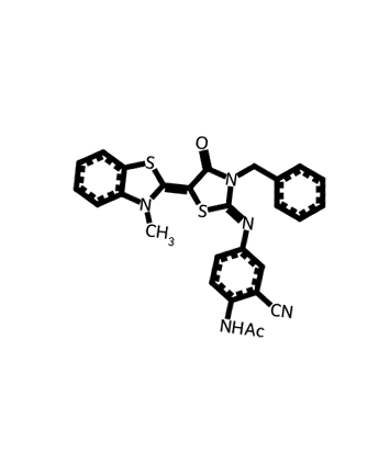 CC(=O)Nc1ccc(N=C2SC(=C3Sc4ccccc4N3C)C(=O)N2Cc2ccccc2)cc1C#N